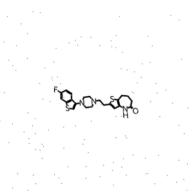 O=C1CCCc2sc(CCN3CCN(c4csc5cc(F)ccc45)CC3)cc2N1